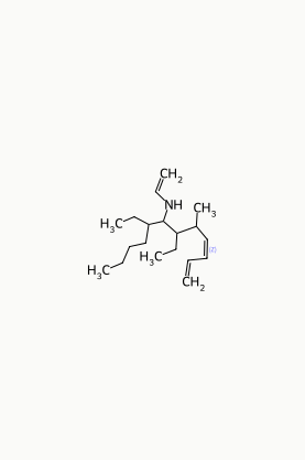 C=C/C=C\C(C)C(CC)C(NC=C)C(CC)CCCC